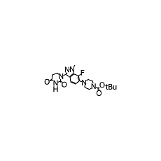 Cn1nc(N2CCC(=O)NC2=O)c2ccc(N3CCN(C(=O)OC(C)(C)C)CC3)c(F)c21